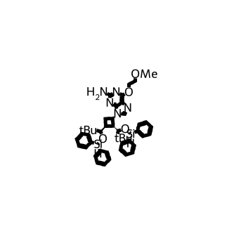 COCCOc1nc(N)nc2c1ncn2[C@@H]1C[C@H](C(O[SiH](c2ccccc2)c2ccccc2)C(C)(C)C)[C@H]1C(O[SiH](c1ccccc1)c1ccccc1)C(C)(C)C